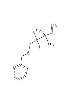 C=CC(C)(C)C(F)(F)COCc1ccccc1